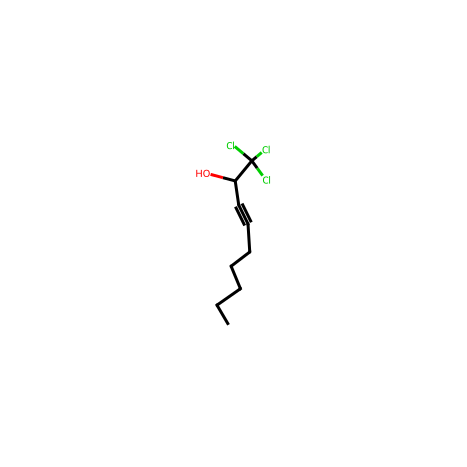 CCCCCC#CC(O)C(Cl)(Cl)Cl